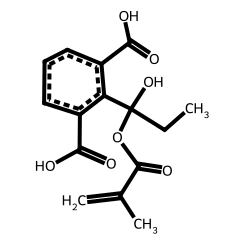 C=C(C)C(=O)OC(O)(CC)c1c(C(=O)O)cccc1C(=O)O